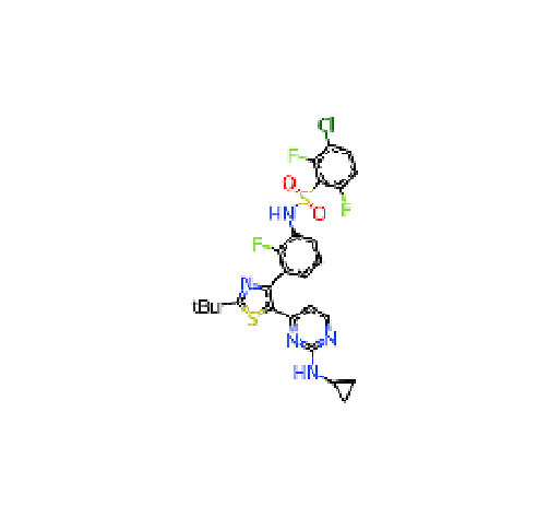 CC(C)(C)c1nc(-c2cccc(NS(=O)(=O)c3c(F)ccc(Cl)c3F)c2F)c(-c2ccnc(NC3CC3)n2)s1